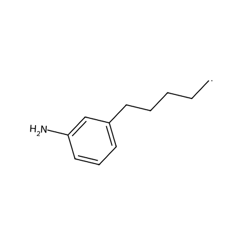 [CH2]CCCCc1cccc(N)c1